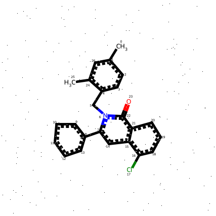 Cc1ccc(Cn2c(-c3ccccc3)cc3c(Cl)cccc3c2=O)c(C)c1